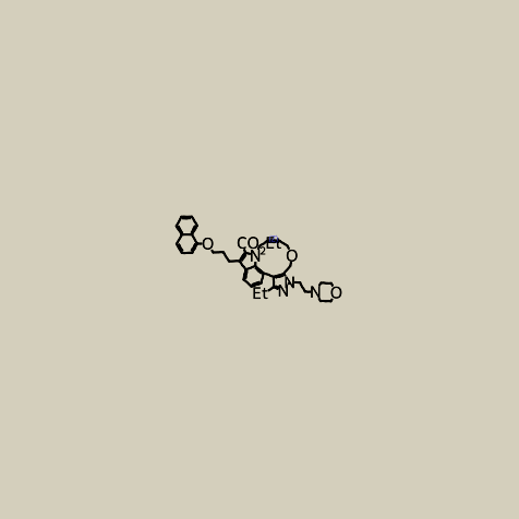 CCOC(=O)c1c(CCCOc2cccc3ccccc23)c2cccc3c2n1C/C=C\COCc1c-3c(CC)nn1CCN1CCOCC1